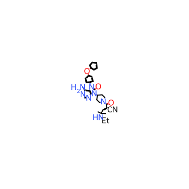 CCNC(C)(C)C=C(C#N)C(=O)N1CCC(n2c(=O)n(-c3ccc(Oc4ccccc4)cc3)c3c(N)ncnc32)CC1